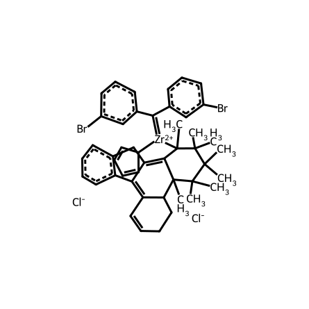 CC12C(=C3Cc4ccccc4C3=C3C=CCCC31)[C](C)([Zr+2](=[C](c1cccc(Br)c1)c1cccc(Br)c1)[CH]1C=CC=C1)C(C)(C)C(C)(C)C2(C)C.[Cl-].[Cl-]